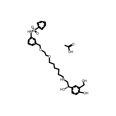 CC(=O)O.O=S(=O)(Nc1cccc(COCCOCCCCCCNC[C@H](O)c2ccc(O)c(CO)c2)c1)c1ccccc1